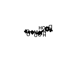 CC(C)(C)OC(=O)N1CC(NC(=O)c2cc(CNc3cc(C(C)(C)C)c(Cl)cc3O)co2)C1